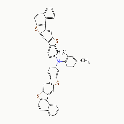 Cc1ccc(N(c2ccc3c(c2)sc2cc4c(cc23)sc2ccc3ccccc3c24)c2ccc3c(c2)sc2cc4c(cc23)sc2ccc3ccccc3c24)c(C)c1